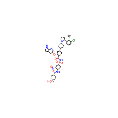 CC1(O)CCC(CNc2ccc(S(=O)(=O)NC(=O)c3ccc(C4=CCC(N5CCCC5c5cccc(Cl)c5C5CC5)CC4)cc3Oc3cnc4[nH]ccc4c3)cc2[N+](=O)[O-])CC1